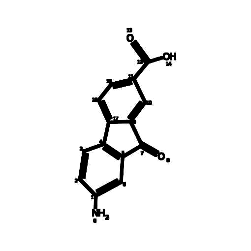 Nc1ccc2c(c1)C(=O)c1cc(C(=O)O)ccc1-2